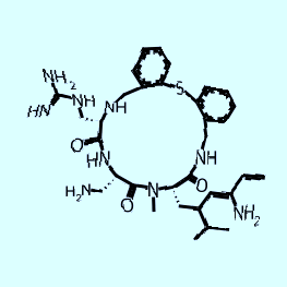 C=C/C(N)=C/C(C[C@H]1C(=O)NCc2ccccc2Sc2ccccc2CN[C@@H](CNC(=N)N)C(=O)N[C@@H](CN)C(=O)N1C)C(C)C